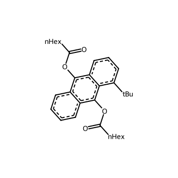 CCCCCCC(=O)Oc1c2ccccc2c(OC(=O)CCCCCC)c2c(C(C)(C)C)cccc12